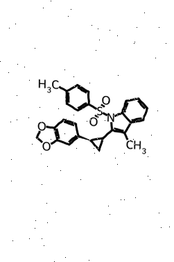 Cc1ccc(S(=O)(=O)n2c(C3C[C@H]3c3ccc4c(c3)OCO4)c(C)c3ccccc32)cc1